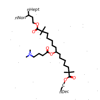 CCCCCCCCCCCCOC(=O)C(C)(C)CCCCCC(CCCCCC(C)(C)C(=O)OCCC(CCCCCCC)CCCCCCCCC)OC(=O)CCCN(C)C